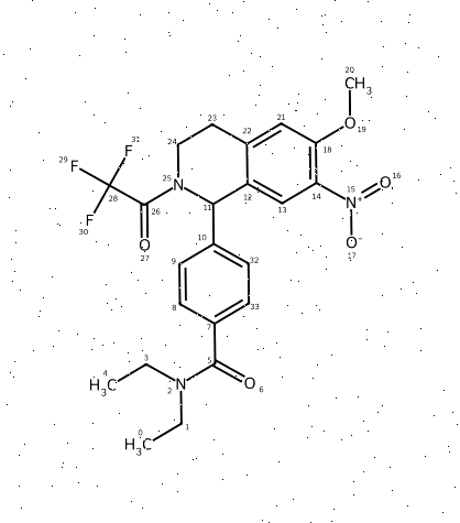 CCN(CC)C(=O)c1ccc(C2c3cc([N+](=O)[O-])c(OC)cc3CCN2C(=O)C(F)(F)F)cc1